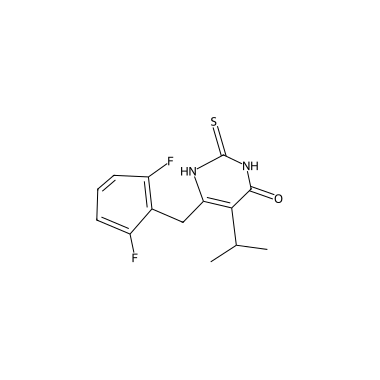 CC(C)c1c(Cc2c(F)cccc2F)[nH]c(=S)[nH]c1=O